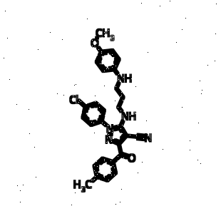 COc1ccc(NCCCNc2c(C#N)c(C(=O)c3ccc(C)cc3)nn2-c2ccc(Cl)cc2)cc1